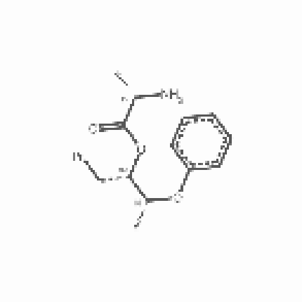 CC(C)C[C@H](OC(=O)[C@H](C)N)[C@@H](C)Oc1ccccc1